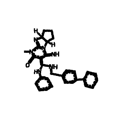 Cn1c(=O)/c(=C(/NCc2ccc(-c3ccccc3)cc2)Nc2ccccc2)c(=N)n2c1=N[C@@H]1CCC[C@@H]12